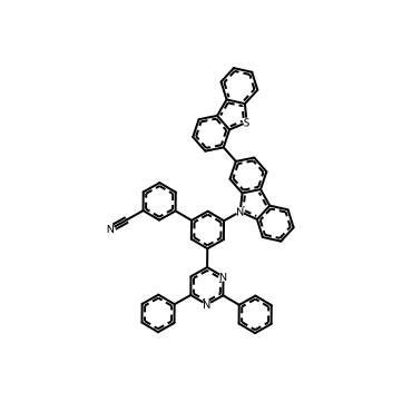 N#Cc1cccc(-c2cc(-c3cc(-c4ccccc4)nc(-c4ccccc4)n3)cc(-n3c4ccccc4c4ccc(-c5cccc6c5sc5ccccc56)cc43)c2)c1